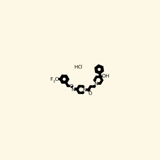 Cl.O=C(CCN1CCC(O)(c2ccccc2)CC1)N1CCC(=NOCc2cccc(C(F)(F)F)c2)CC1